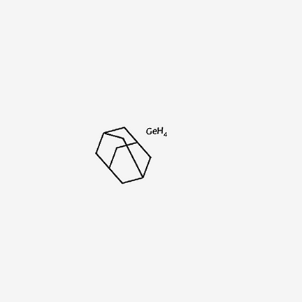 C1C2CC3CC1CC(C2)C3.[GeH4]